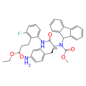 CCOC(=O)CCc1c(F)cccc1NC(=O)[C@H](Cc1ccc(N)cc1)N(C(=O)OC)C1c2ccccc2-c2ccccc21